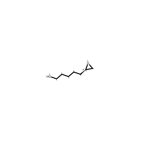 OCCCCC[C@@H]1CO1